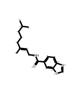 C/C(=C\CNC(=O)c1ccc2ncsc2c1)CCCC(C)C